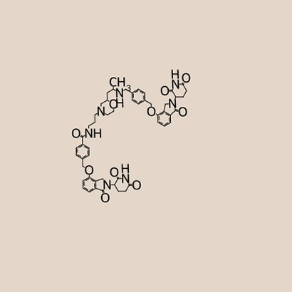 CC(CC1CN(CCCNC(=O)c2ccc(COc3cccc4c3CN(C3CCC(=O)NC3=O)C4=O)cc2)CCO1)NCc1ccc(COc2cccc3c2CN(C2CCC(=O)NC2=O)C3=O)cc1